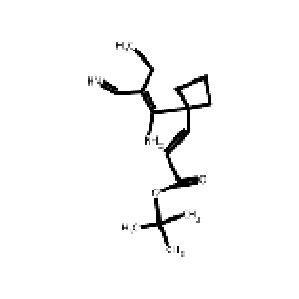 CC/C(C=N)=C(/N)C1(/C=C/C(=O)OC(C)(C)C)CCC1